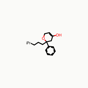 CC(C)CCCC1(c2ccccc2)CC(O)=CCO1